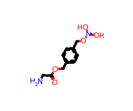 NCC(=O)OCc1ccc(CON(O)O)cc1